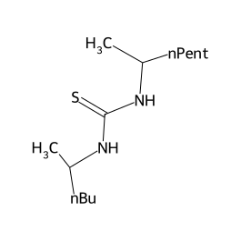 CCCCCC(C)NC(=S)NC(C)CCCC